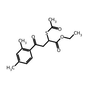 CCOC(=O)C(CC(=O)c1ccc(C)cc1C)SC(C)=O